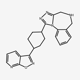 c1ccc2c(c1)CNCc1nnc(C3CCC(c4noc5ncccc45)CC3)n1-2